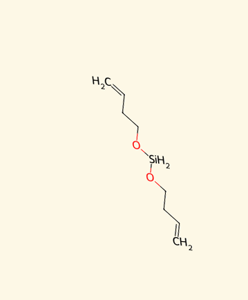 C=CCCO[SiH2]OCCC=C